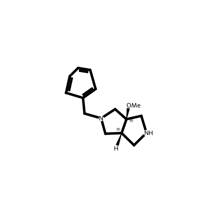 CO[C@@]12CNC[C@@H]1CN(Cc1ccccc1)C2